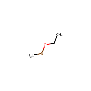 [CH2]COSC